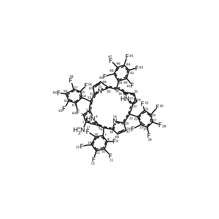 Nc1cc2[nH]c1c(-c1c(F)c(F)c(F)c(F)c1F)c1nc(c(-c3c(F)c(F)c(F)c(F)c3F)c3ccc([nH]3)c(-c3c(F)c(F)c(F)c(F)c3F)c3nc(c2-c2c(F)c(F)c(F)c(F)c2F)C=C3)C=C1